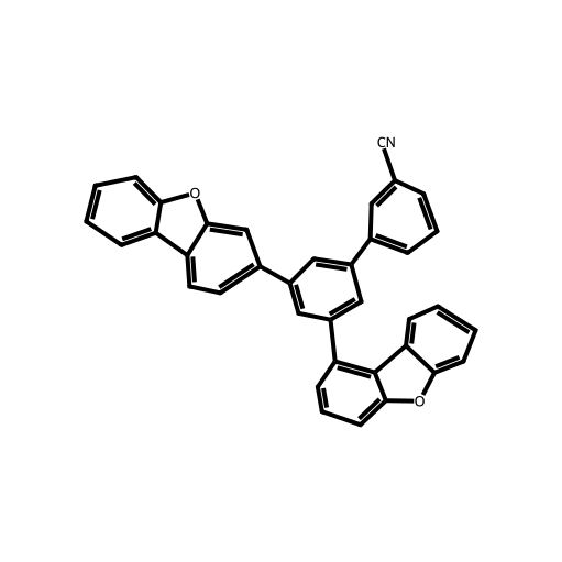 N#Cc1cccc(-c2cc(-c3ccc4c(c3)oc3ccccc34)cc(-c3cccc4oc5ccccc5c34)c2)c1